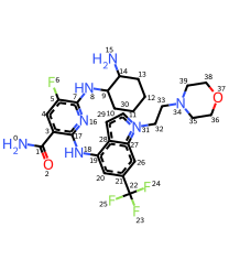 NC(=O)c1cc(F)c(NC2CCCCC2N)nc1Nc1cc(C(F)(F)F)cc2c1ccn2CCN1CCOCC1